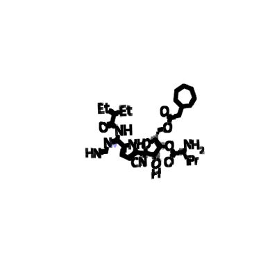 CCC(CC)C(=O)N/C(=N/C=N)c1ccc([C@]2(C#N)O[C@H](COC(=O)CC3CCCCCC3)[C@@H](OC(=O)[C@@H](N)C(C)C)[C@H]2O)[nH]1